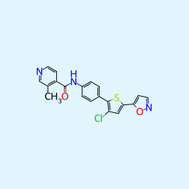 Cc1cnccc1C(=O)Nc1ccc(-c2sc(-c3ccno3)cc2Cl)cc1